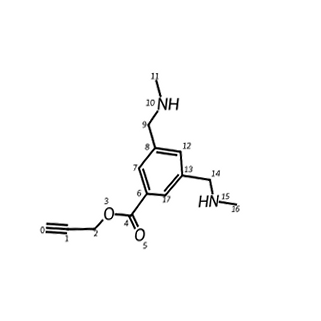 C#CCOC(=O)c1cc(CNC)cc(CNC)c1